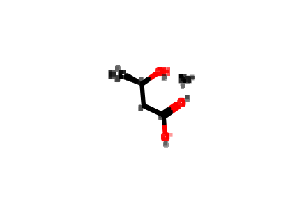 C[C@@H](O)CC(=O)[O-].[Na+]